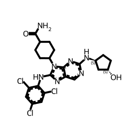 NC(=O)C1CCC(n2c(Nc3c(Cl)cc(Cl)cc3Cl)nc3cnc(N[C@H]4CC[C@H](O)C4)nc32)CC1